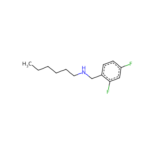 CCCCCCNCc1ccc(F)cc1F